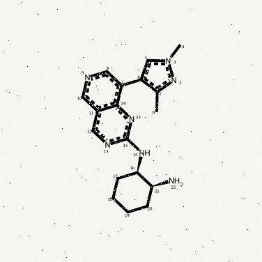 Cc1nn(C)cc1-c1cncc2cnc(N[C@@H]3CCCC[C@@H]3N)nc12